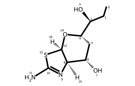 CC[C@H](O)[C@@H]1C[C@H](O)[C@H]2N=C(N)S[C@H]2O1